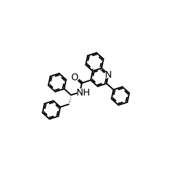 O=C(N[C@H](Cc1ccccc1)c1ccccc1)c1cc(-c2ccccc2)nc2ccccc12